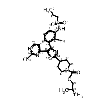 CCCS(=O)(=O)Nc1cccc(-c2nc(C3CCN(C(=O)OCC(C)C)CC3)sc2-c2ccnc(Cl)n2)c1F